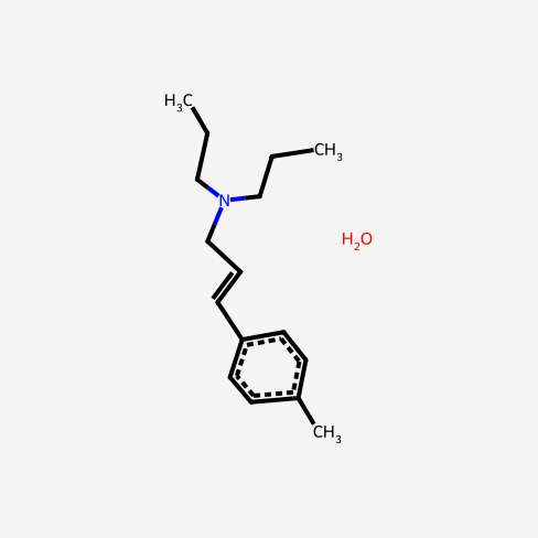 CCCN(CC=Cc1ccc(C)cc1)CCC.O